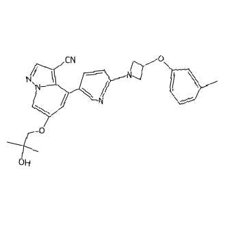 Cc1cccc(OC2CN(c3ccc(-c4cc(OCC(C)(C)O)cn5ncc(C#N)c45)cn3)C2)c1